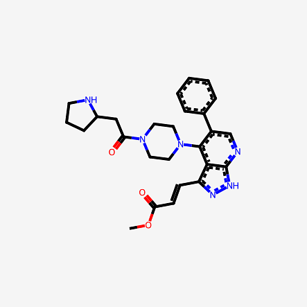 COC(=O)/C=C/c1n[nH]c2ncc(-c3ccccc3)c(N3CCN(C(=O)CC4CCCN4)CC3)c12